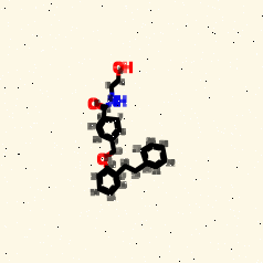 O=C(NCCO)c1ccc(COc2ccccc2CCc2ccccc2)cc1